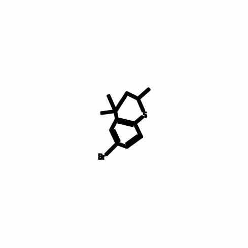 CC1CC(C)(C)c2cc(Br)ccc2S1